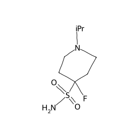 CC(C)N1CCC(F)(S(N)(=O)=O)CC1